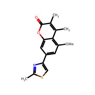 COc1cc(-c2csc(C)n2)cc2oc(=O)c(C)c(C)c12